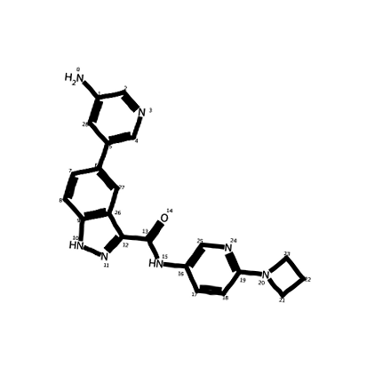 Nc1cncc(-c2ccc3[nH]nc(C(=O)Nc4ccc(N5CCC5)nc4)c3c2)c1